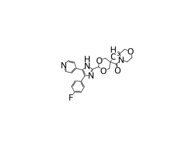 CC1(C(=O)N2CCOCC2)COC(c2nc(-c3ccc(F)cc3)c(-c3ccncc3)[nH]2)OC1